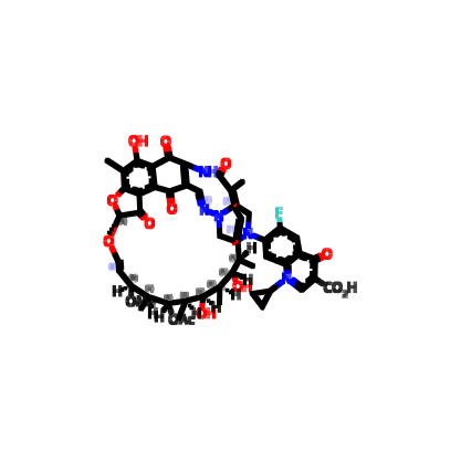 CO[C@H]1/C=C/O[C@@]2(C)Oc3c(C)c(O)c4c(c3C2=O)C(=O)C(/C=N/N2CCN(c3cc5c(cc3F)c(=O)c(C(=O)O)cn5C3CC3)CC2)=C(NC(=O)/C(C)=C\C=C\[C@H](C)[C@H](O)[C@@H](C)[C@@H](O)[C@@H](C)[C@H](OC(C)=O)[C@@H]1C)C4=O